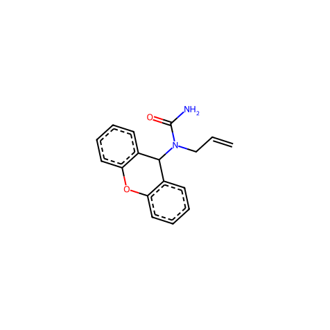 C=CCN(C(N)=O)C1c2ccccc2Oc2ccccc21